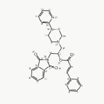 O=C(/C=C/c1ccccc1)OC(CN1CCN(c2ccccn2)CC1)CN1C(=O)c2ccccc2C1=O